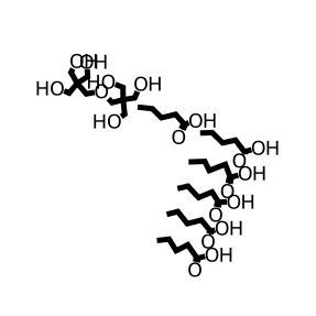 CCCCC(=O)O.CCCCC(=O)O.CCCCC(=O)O.CCCCC(=O)O.CCCCC(=O)O.CCCCC(=O)O.OCC(CO)(CO)COCC(CO)(CO)CO